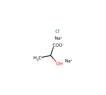 CC(O)C(=O)[O-].[Cl-].[Na+].[Na+]